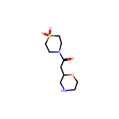 O=C(CC1CNCCO1)N1CCS(=O)(=O)CC1